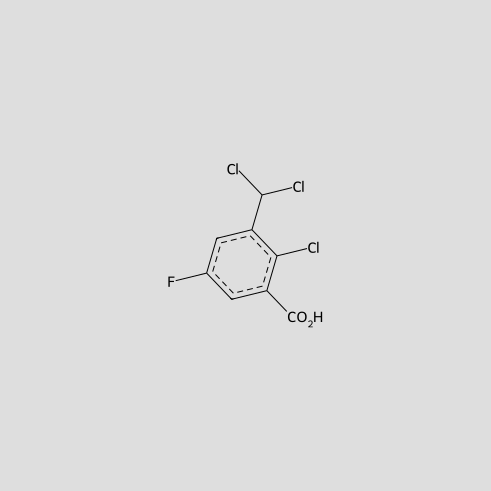 O=C(O)c1cc(F)cc(C(Cl)Cl)c1Cl